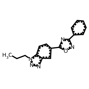 CCCn1nnc2cc(-c3nc(-c4ccccc4)no3)ccc21